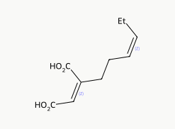 CC/C=C\CC/C(=C/C(=O)O)C(=O)O